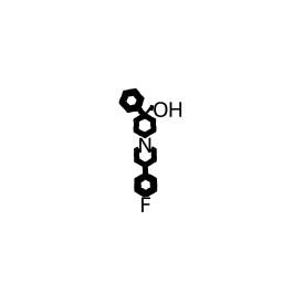 OC[C@]1(c2ccccc2)CC[C@@H](N2CCC(c3ccc(F)cc3)CC2)CC1